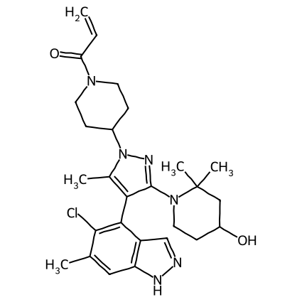 C=CC(=O)N1CCC(n2nc(N3CCC(O)CC3(C)C)c(-c3c(Cl)c(C)cc4[nH]ncc34)c2C)CC1